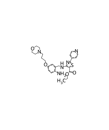 CCOC(=O)c1sc(-c2ccncc2)nc1NCc1cc(OCCCN2CCOCC2)ccc1N